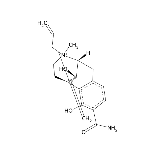 C=CC[N+]1(C)CC[C@]23CC(=C)CC[C@@]2(O)[C@H]1Cc1ccc(C(N)=O)c(O)c13